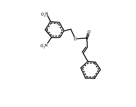 O=C(C=Cc1ccccc1)OCc1cc([N+](=O)[O-])cc([N+](=O)[O-])c1